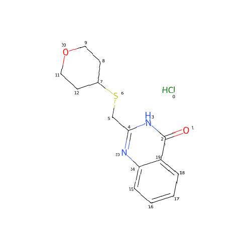 Cl.O=c1[nH]c(CSC2CCOCC2)nc2ccccc12